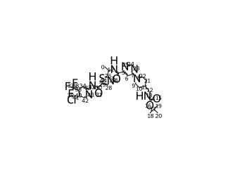 CC(NC(=O)c1cc(N2CCC(CNC(=O)OC(C)(C)C)CC2)ncn1)c1ncc(C(=O)Nc2cc(C(F)(F)F)c(Cl)cn2)s1